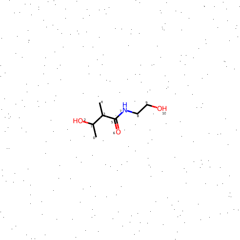 CC(O)C(C)C(=O)NCCO